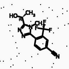 C[C@@H](O)c1nnc(-c2ccc(C#N)cc2C(F)(F)F)n1C